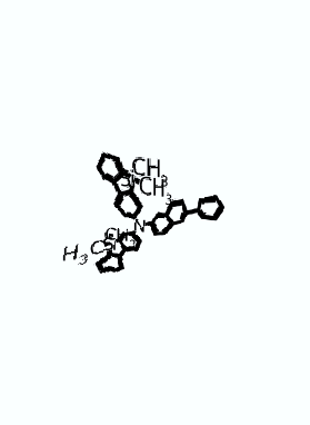 C[Si]1(C)c2ccccc2-c2ccc(N(c3ccc4c(c3)[Si](C)(C)c3ccccc3-4)c3ccc4cc(-c5ccccc5)ccc4c3)cc21